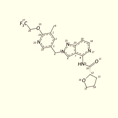 Cc1cc(Cn2cc3c(NC(=O)[C@@H]4CCCO4)nccc3n2)cnc1OCC(F)(F)F